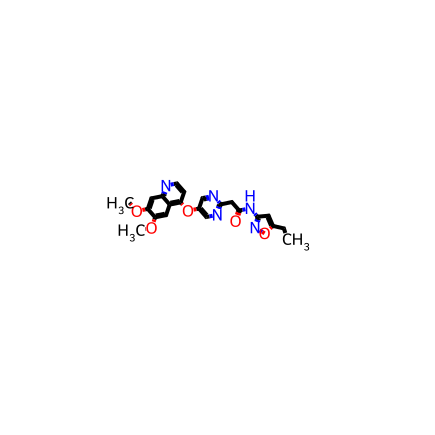 CCc1cc(NC(=O)Cc2ncc(Oc3ccnc4cc(OC)c(OC)cc34)cn2)no1